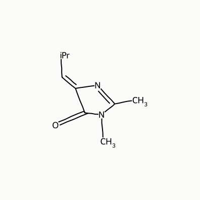 CC1=N/C(=C\C(C)C)C(=O)N1C